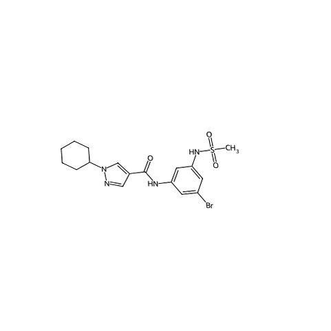 CS(=O)(=O)Nc1cc(Br)cc(NC(=O)c2cnn(C3CCCCC3)c2)c1